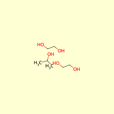 CC(C)O.OCCO.OCCO